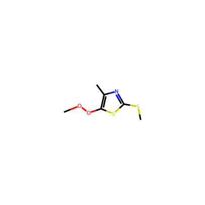 COOc1sc(SC)nc1C